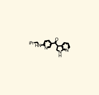 CC(C)CNc1ccc(C(=O)C2CNc3ncccc32)cn1